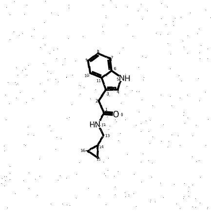 O=C(Cc1c[nH]c2ccccc12)NCC1CC1